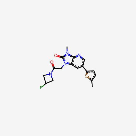 Cc1ccc(-c2cnc3c(c2)n(CC(=O)N2CC(F)C2)c(=O)n3C)s1